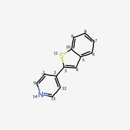 [c]1[c]c(-c2cc3ccccc3s2)ccn1